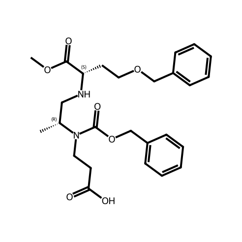 COC(=O)[C@H](CCOCc1ccccc1)NC[C@@H](C)N(CCC(=O)O)C(=O)OCc1ccccc1